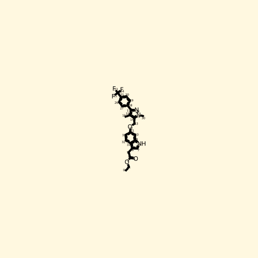 CCOC(=O)Cc1c[nH]c2cc(OCc3c(C)c(-c4ccc(C(F)(F)F)cc4)nn3C)ccc12